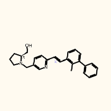 Cc1c(/C=C/c2ccc(CN3CCC[C@H]3CO)cn2)cccc1-c1ccccc1